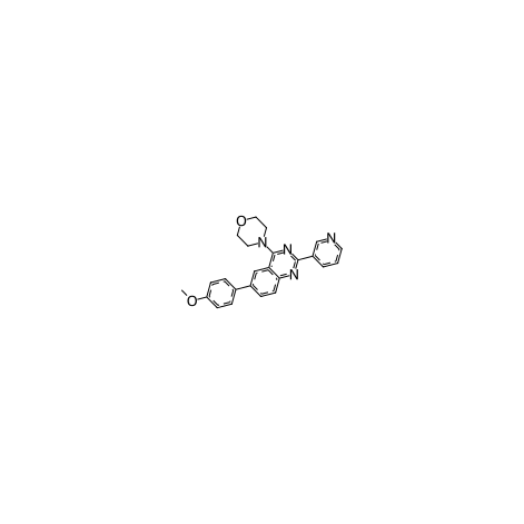 COc1ccc(-c2ccc3nc(-c4cccnc4)nc(N4CCOCC4)c3c2)cc1